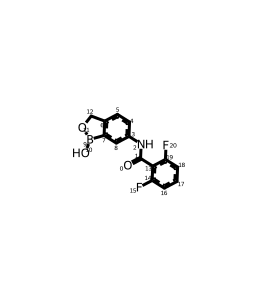 O=C(Nc1ccc2c(c1)B(O)OC2)c1c(F)cccc1F